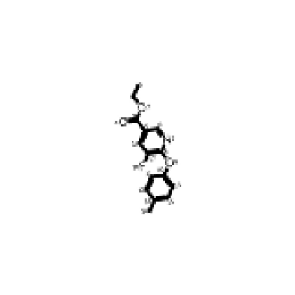 CCOC(=O)c1cnc(Oc2ccc(C)cc2)c(F)c1